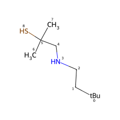 CC(C)(C)CCNCC(C)(C)S